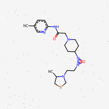 N#Cc1ccc(NC(=O)CN2CCC(n3on3CCN3CSCC3C#N)CC2)nc1